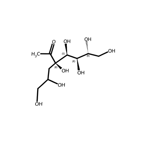 CC(=O)[C@@](O)(CC(O)CO)[C@@H](O)[C@H](O)[C@H](O)CO